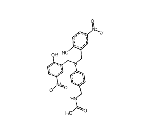 O=C(O)NCc1ccc(N(Cc2cc([N+](=O)[O-])ccc2O)Cc2cc([N+](=O)[O-])ccc2O)cc1